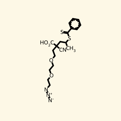 CC(CC(C#N)(CCOCCOCCN=[N+]=[N-])C(=O)O)SC(=S)c1ccccc1